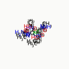 CC1=NN(c2ccc(Cl)c(C(=O)NCC3(O)CCCCCC3)c2)C(=O)[N+]1(C)C(N)=O.Cc1nn(-c2ccc(Cl)c(C(=O)NCC3(O)CCCC(C)(C)C3)c2)c(=O)[nH]1